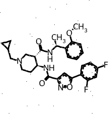 COc1ccccc1[C@H](C)NC(=O)[C@H]1CN(CC2CC2)CC[C@@H]1NC(=O)c1cc(-c2ccc(F)cc2F)on1